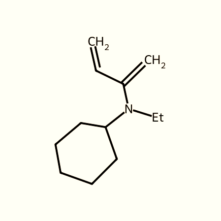 C=CC(=C)N(CC)C1CCCCC1